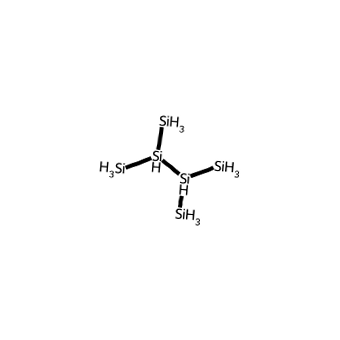 [SiH3][SiH]([SiH3])[SiH]([SiH3])[SiH3]